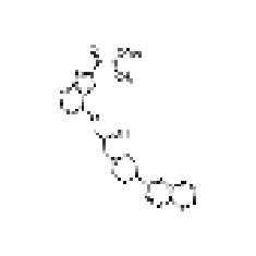 CON(C)C(=O)c1cc2c(OC[C@@H](O)CN3CCC(c4ccc5ccccc5c4)CC3)cccc2s1